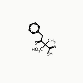 CC(C(=O)O)(C(=S)S)C(=S)Cc1ccccc1